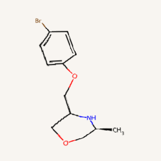 C[C@H]1COCC(COc2ccc(Br)cc2)N1